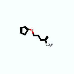 C=C(CCCOC1=CC=CC1)C(=O)O